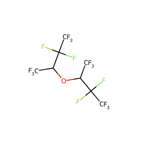 FC(F)(F)C(OC(C(F)(F)F)C(F)(F)C(F)(F)F)C(F)(F)C(F)(F)F